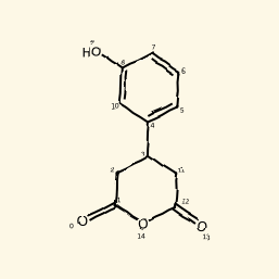 O=C1CC(c2cccc(O)c2)CC(=O)O1